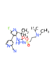 CCN(CC)CCCS(=O)(=O)NC(=O)Nc1c(-c2ccnc(C#N)c2)cc(F)nc1C(C)C